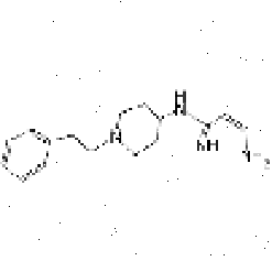 N=C(/C=C\N)NC1CCN(CCc2ccccc2)CC1